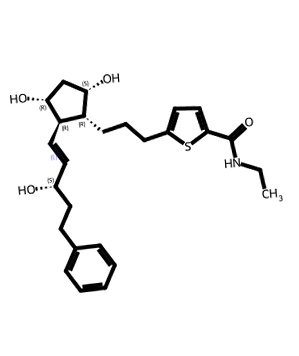 CCNC(=O)c1ccc(CCC[C@@H]2[C@@H](/C=C/[C@@H](O)CCc3ccccc3)[C@H](O)C[C@@H]2O)s1